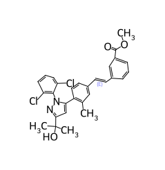 COC(=O)c1cccc(/C=C/c2ccc(-c3cc(C(C)(C)O)nn3-c3c(Cl)cccc3Cl)c(C)c2)c1